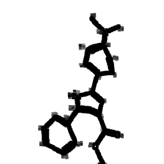 CCOC(=O)c1cc(-c2ccc(N(C)C)cc2)[nH]c1-c1ccccc1